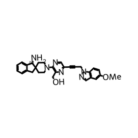 COc1ccc2c(cnn2CC#Cc2cnc(N3CCC4(CC3)Cc3ccccc3[C@H]4N)c(CO)n2)c1